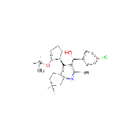 CC(C)c1nc2c(c([C@@H]3CCC=C3O[Si](C)(C)C(C)(C)C)c1[C@H](O)c1ccc(Cl)cc1)CCC(C)(C)C2